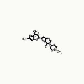 Cc1cn2nc(-c3cc4ncn(C5CCN(C)CC5)c(=O)c4s3)cc(C)c2n1